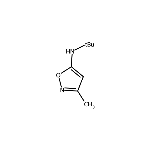 Cc1cc(NC(C)(C)C)on1